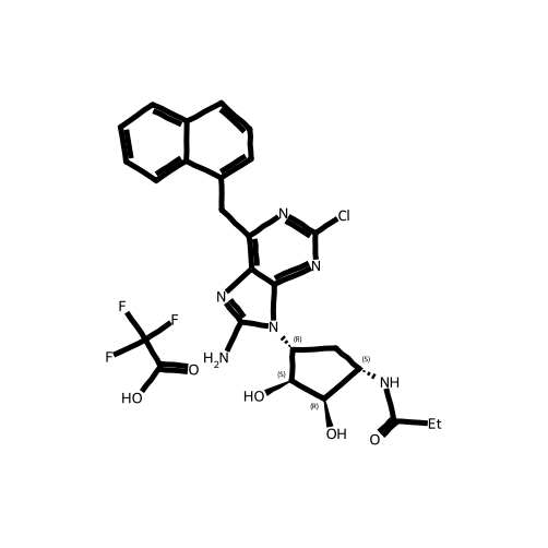 CCC(=O)N[C@H]1C[C@@H](n2c(N)nc3c(Cc4cccc5ccccc45)nc(Cl)nc32)[C@H](O)[C@@H]1O.O=C(O)C(F)(F)F